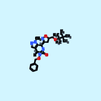 Cn1ncc2c1[C@@H](C1=NOC(CO[Si](C)(C)C(C)(C)C)C1)N1C[C@@H]2N(OCc2ccccc2)C1=O